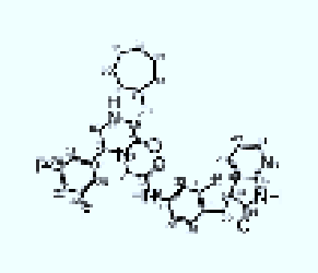 O=C(CN1C(=O)[C@@H](CC2CCCCCC2)NCC1c1cc(F)cc(F)c1)Nc1ccc2c(c1)C[C@@]1(C2)C(=O)Nc2ncccc21